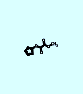 COC(=O)C(Cl)Oc1cccs1